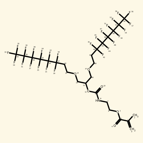 C=C(C)C(=O)OCCNC(=O)OC(COCCC(F)(F)C(F)(F)C(F)(F)C(F)(F)C(F)(F)C(F)(F)F)COCCC(F)(F)C(F)(F)C(F)(F)C(F)(F)C(F)(F)C(F)(F)F